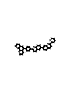 c1ccc(-c2ccc3ccc(-c4ccc5nc(-c6ccc(-c7cc8cccnc8c8ncccc78)cc6)ccc5c4)cc3n2)nc1